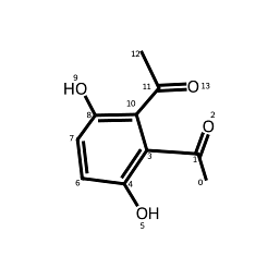 CC(=O)c1c(O)ccc(O)c1C(C)=O